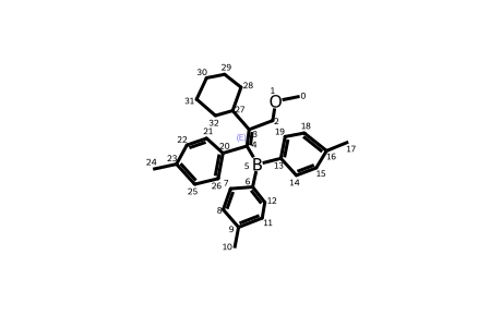 COC/C(=C(\B(c1ccc(C)cc1)c1ccc(C)cc1)c1ccc(C)cc1)C1CCCCC1